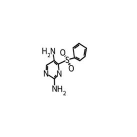 Nc1ncc(N)c(S(=O)(=O)c2ccccc2)n1